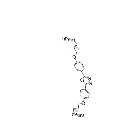 CCCCC/C=C/COc1ccc(-c2nnc(-c3ccc(OC/C=C/CCCCC)cc3)o2)cc1